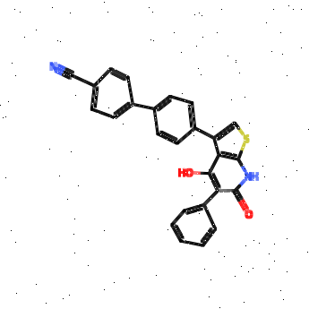 N#Cc1ccc(-c2ccc(-c3csc4[nH]c(=O)c(-c5ccccc5)c(O)c34)cc2)cc1